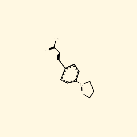 O=C(O)C=Cc1ccc(N2CCCN2)cc1